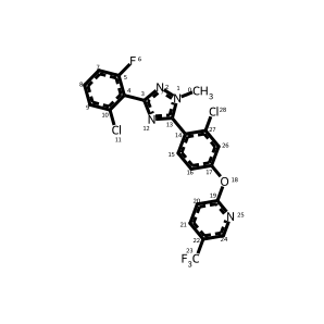 Cn1nc(-c2c(F)cccc2Cl)nc1-c1ccc(Oc2ccc(C(F)(F)F)cn2)cc1Cl